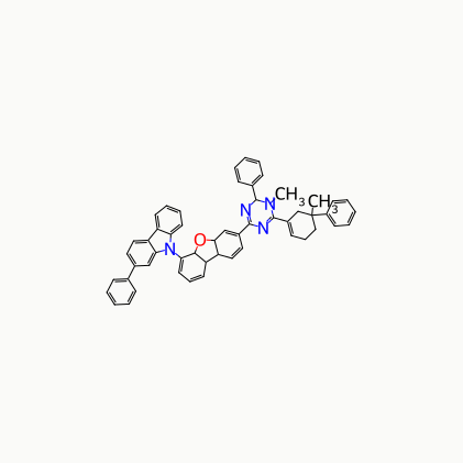 CN1C(C2=CCCC(C)(c3ccccc3)C2)=NC(C2=CC3OC4C(n5c6ccccc6c6ccc(-c7ccccc7)cc65)=CC=CC4C3C=C2)=NC1c1ccccc1